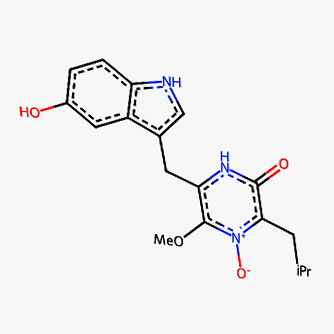 COc1c(Cc2c[nH]c3ccc(O)cc23)[nH]c(=O)c(CC(C)C)[n+]1[O-]